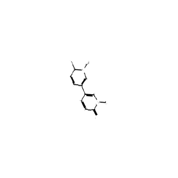 CC(C)N1C=C(c2ccc(=O)n(C)c2)C=CC1C